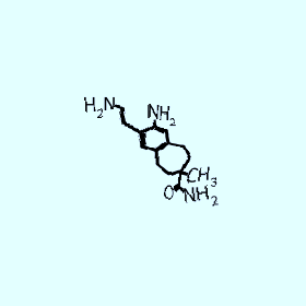 CC1(C(N)=O)CCc2cc(N)c(CCN)cc2CC1